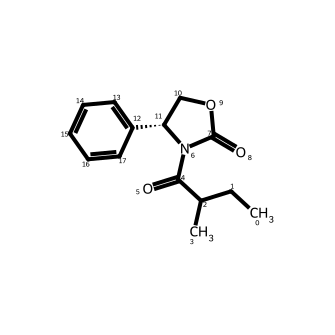 CCC(C)C(=O)N1C(=O)OC[C@H]1c1ccccc1